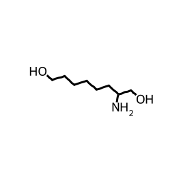 NC(CO)CCCCCCO